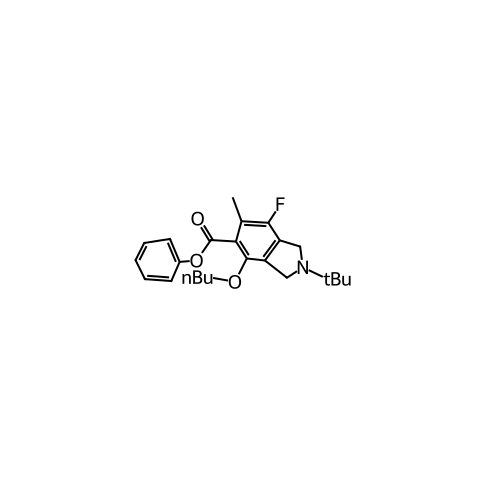 CCCCOc1c2c(c(F)c(C)c1C(=O)Oc1ccccc1)CN(C(C)(C)C)C2